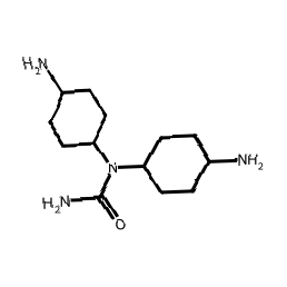 NC(=O)N(C1CCC(N)CC1)C1CCC(N)CC1